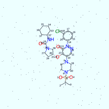 CC(C)S(=O)(=O)N1CCN(c2cnn(-c3cccc(Cl)c3)c(=O)c2O[C@@H]2CCN(C(=O)NC3CCCCC3)C2)CC1